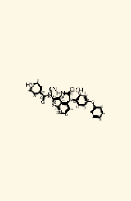 Cc1cc(Oc2ccccc2)ccc1N1C(=O)Nc2c(N(C#N)C(=O)C3CCNCC3)sc3nccc1c23